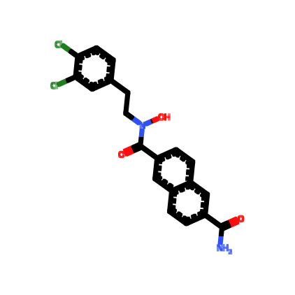 NC(=O)c1ccc2cc(C(=O)N(O)CCc3ccc(Cl)c(Cl)c3)ccc2c1